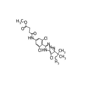 COC(=O)CCC(=O)Nc1cc(Cl)c(-c2nn3nc(C(C)(C)C)c(Cl)c3[nH]2)c(Cl)c1